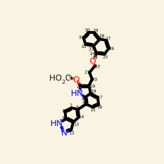 O=C(O)Oc1[nH]c2c(-c3ccc4[nH]ncc4c3)cccc2c1CCCOc1cccc2ccccc12